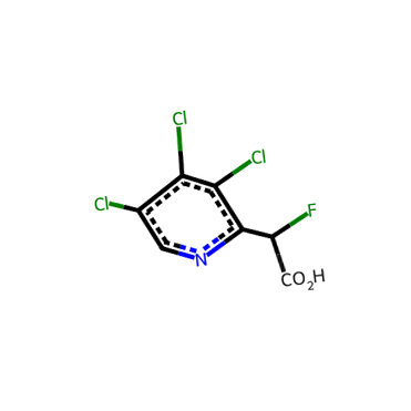 O=C(O)C(F)c1ncc(Cl)c(Cl)c1Cl